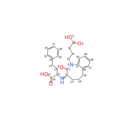 O=C(O)CCCN1C(=O)C(NC(CCc2ccccc2)C(=O)O)CCCc2ccccc21